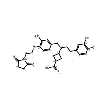 Cc1cc(CN(CCc2ccc(Cl)c(F)c2)C2CC(C(=O)O)C2)ccc1OCCN1C(=O)CCC1=O